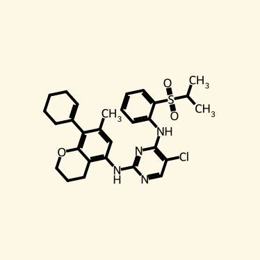 Cc1cc(Nc2ncc(Cl)c(Nc3ccccc3S(=O)(=O)C(C)C)n2)c2c(c1C1=CCCCC1)OCCC2